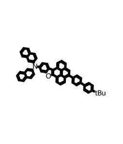 CC(C)(C)c1ccc(-c2ccc(-c3cc4cccc5c6c7ccc(N(c8ccc9ccccc9c8)c8ccc9ccccc9c8)cc7oc6c6cccc3c6c45)cc2)cc1